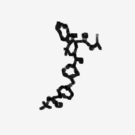 CC(C)OC(=O)C1=CN(C(=O)c2cccc(CN3CCN(C(=O)OC(C)(C)C)CC3)c2)CC(C)(C)c2c1[nH]c1ccccc21